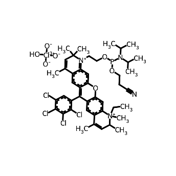 CC[N+]1(C)c2cc3c(cc2C(C)=CC1C)C(c1cc(Cl)c(Cl)c(Cl)c1Cl)=c1cc2c(cc1O3)=[N+](CCOP(OCCC#N)N(C(C)C)C(C)C)C(C)(C)C=C2C.[O-][Cl+3]([O-])([O-])O